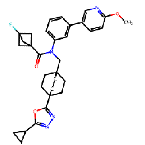 COc1ccc(-c2cccc(N(CC34CCC(c5nnc(C6CC6)o5)(CC3)CC4)C(=O)C34CC(F)(C3)C4)c2)cn1